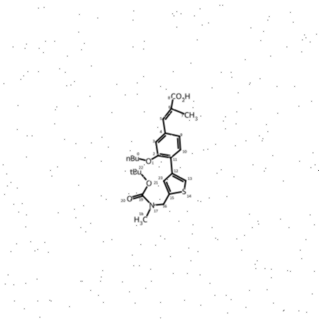 CCCCOc1cc(C=C(C)C(=O)O)ccc1-c1csc(CN(C)C(=O)OC(C)(C)C)c1